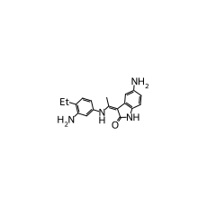 CCc1ccc(N/C(C)=C2\C(=O)Nc3ccc(N)cc32)cc1N